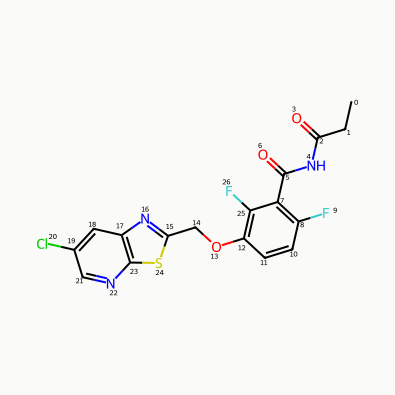 CCC(=O)NC(=O)c1c(F)ccc(OCc2nc3cc(Cl)cnc3s2)c1F